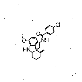 C=C1CCCC2Nc3c(OC)cccc3[C@]12CCNC(=O)c1ccc(Cl)cc1